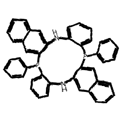 c1ccc(P2c3ccccc3Nc3cc4ccccc4cc3P(c3ccccc3)c3ccccc3Nc3cc4ccccc4cc32)cc1